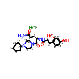 Cl.NC(=O)CC[C@H](NC(=O)CCc1ccc(O)cc1O)C(=O)N1CCN(C2CCCCC2)CC1